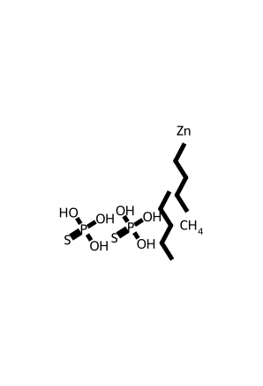 C.CCCCC.CCCCC.OP(O)(O)=S.OP(O)(O)=S.[Zn]